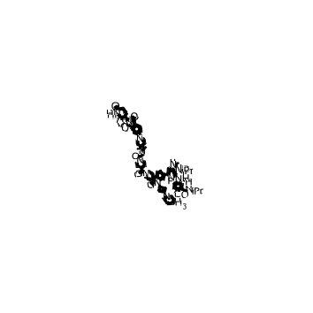 Cc1cc(F)c(Nc2nc(-c3ccc4c(c3)N([C@H]3C[C@@H](N5CCCCC5)C3)C(=O)C43CCN(C(=O)C4CCN(C(=O)CN5CC6(CCN(c7ccc8c(c7)C(=O)N(C7CCC(=O)NC7=O)C8=O)CC6)C5)CC4)CC3)cc3ncn(C(C)C)c23)cc1C(=O)NC(C)C